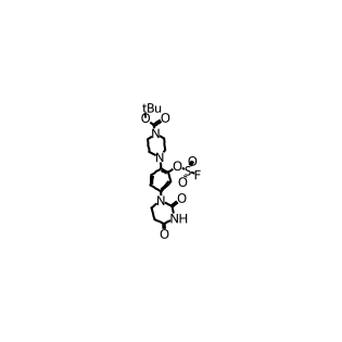 CC(C)(C)OC(=O)N1CCN(c2ccc(N3CCC(=O)NC3=O)cc2OS(=O)(=O)F)CC1